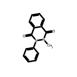 Cn1c(=O)c2ccccc2c(=O)n1-c1ccccc1